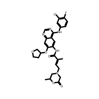 CC1CN(CC=C(I)C(=O)Nc2cc3c(Nc4ccc(F)c(Cl)c4)ncnc3cc2OC2CCOC2)CC(=O)O1